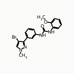 COc1ccccc1NC(=O)Nc1cccc(-c2nn(C)cc2Br)c1